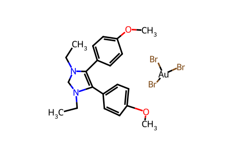 CCN1CN(CC)C(c2ccc(OC)cc2)=C1c1ccc(OC)cc1.[Br][Au]([Br])[Br]